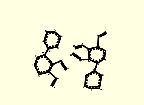 C=Cc1ccc(-c2ccccc2)c(C=C)c1C=C.C=Cc1cccc(-c2ccccc2)c1C=C